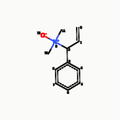 C=CC(c1ccccc1)[N+](C)(C)[O-]